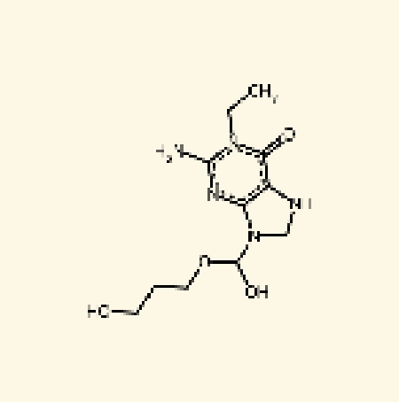 CCn1c(N)nc2c(c1=O)NCN2C(O)OCCCO